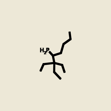 CCCCC(P)C(CC)(CC)CC